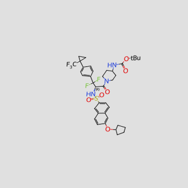 CC(C)(C)OC(=O)NC1CCN(C(=O)[C@@H](NS(=O)(=O)c2ccc3cc(OC4CCCC4)ccc3c2)C(F)(F)c2ccc(C3(C(F)(F)F)CC3)cc2)CC1